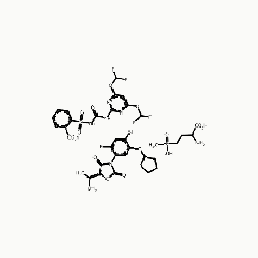 CC(C)=C1OC(=O)N(c2cc(OC3CCCC3)c(Cl)cc2F)C1=O.CP(=O)(O)CCC(N)C(=O)O.O=C(Nc1nc(OC(F)F)cc(OC(F)F)n1)NS(=O)(=O)c1ccccc1C(=O)O